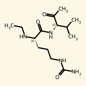 CCN[C@@H](CCCNC(N)=O)C(=O)N[C@H](C(C)=O)C(C)C